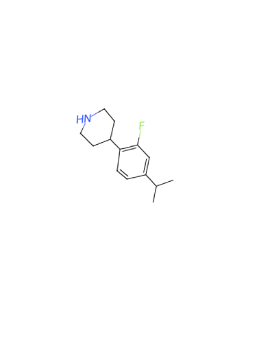 CC(C)c1ccc(C2CCNCC2)c(F)c1